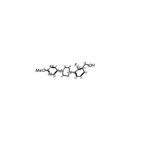 COc1ncc(N2CCN(c3cccc(CO)c3F)CC2)cn1